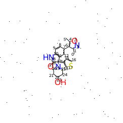 Cc1noc(C)c1-c1ccc2c(c1)C(c1ccsc1)(N1CCC(O)CC1)C(=O)N2